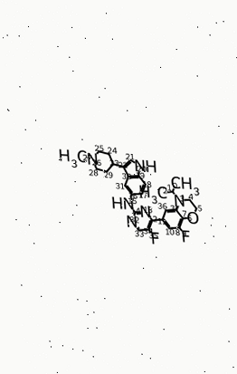 CC(C)N1CCOc2c(F)cc(-c3nc(Nc4ccc5[nH]cc(C6CCN(C)CC6)c5c4)ncc3F)cc21